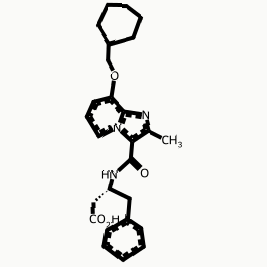 Cc1nc2c(OCC3CCCCC3)cccn2c1C(=O)N[C@@H](CC(=O)O)Cc1ccccc1